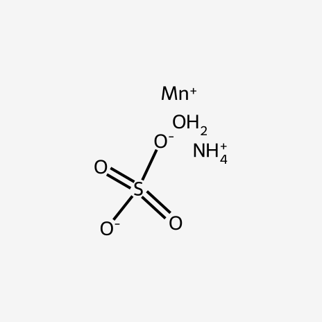 O.O=S(=O)([O-])[O-].[Mn+].[NH4+]